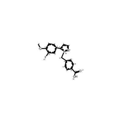 COc1ccc(-c2ccnn2Cc2ccc(C(=O)O)cc2)cc1F